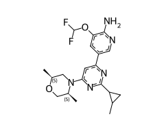 CC1CC1c1nc(-c2cnc(N)c(OC(F)F)c2)cc(N2C[C@H](C)OC[C@@H]2C)n1